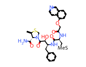 C=C1SCN(C(=O)[C@@H](O)[C@H](Cc2ccccc2)NC(=O)[C@H](CSC)NC(=O)COc2cccc3cnccc23)[C@@H]1C(N)=O